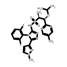 Cc1cnc([C@H](OC(C)C)[C@H](C)S(=O)(=O)Nc2nnc(-c3ccn(C)n3)n2-c2c(F)cccc2F)nc1